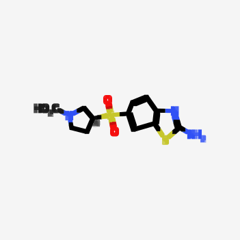 Nc1nc2ccc(S(=O)(=O)[C@H]3CCN(C(=O)O)C3)cc2s1